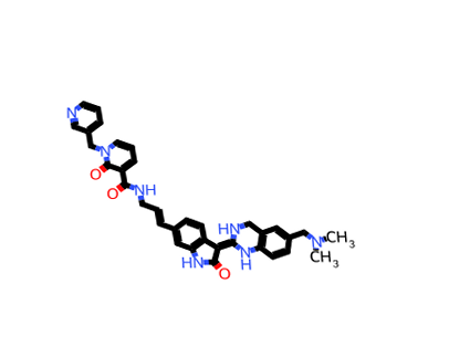 CN(C)Cc1ccc2c(c1)CN/C(=C1/C(=O)Nc3cc(/C=C/CNC(=O)c4cccn(Cc5cccnc5)c4=O)ccc31)N2